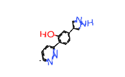 Oc1cc(-c2cn[nH]c2)ccc1-c1cc[c]nn1